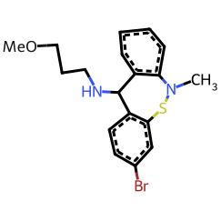 COCCCNC1c2ccc(Br)cc2SN(C)c2ccccc21